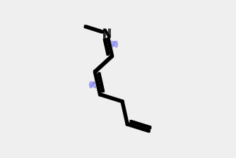 C=CC/C=C\C=N/C